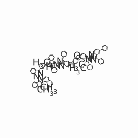 CC1(C)c2ccccc2-c2c1c1c3ccccc3ccc1n2-c1nc(C2C=C(C[C@@]3(C)c4ccccc4C4[C@@H]3c3ccccc3N4c3nc(-c4ccccc4)c4cc(-c5ccc6c(c5)oc5ccc7c(c56)C5C(C6=C(CCC=C6)C5(C)C)N7c5nc(-c6ccccc6)c6cc(-c7ccccc7)ccc6n5)ccc4n3)C=CC2)c2ccccc2n1